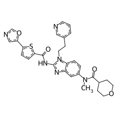 CN(C(=O)C1CCOCC1)c1ccc2c(c1)nc(NC(=O)c1ccc(-c3cnco3)s1)n2CCc1cccnc1